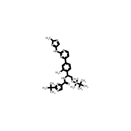 Cc1cc(-c2ccnc(NC3=NC(C)N=C3)n2)ccc1C(CO[Si](C)(C)C(C)(C)C)NC(=O)c1cnc(C(C)(C)C)s1